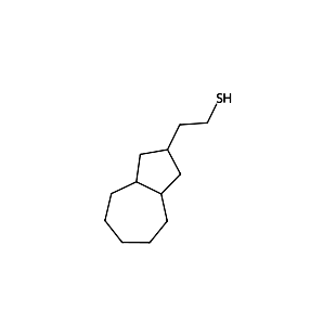 SCCC1CC2CCCCCC2C1